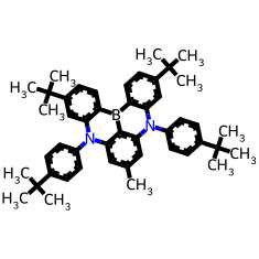 Cc1cc2c3c(c1)N(c1ccc(C(C)(C)C)cc1)c1cc(C(C)(C)C)ccc1B3c1ccc(C(C)(C)C)cc1N2c1ccc(C(C)(C)C)cc1